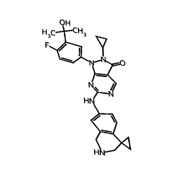 CC(C)(O)c1cc(-n2c3nc(Nc4ccc5c(c4)CNCC54CC4)ncc3c(=O)n2C2CC2)ccc1F